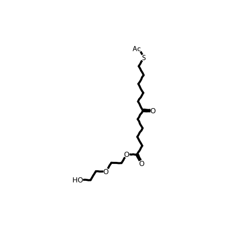 CC(=O)SCCCCCC(=O)CCCCC(=O)OCCOCCO